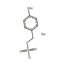 CC(=O)Oc1ccc(CSS(=O)(=O)[O-])cc1.[Na+]